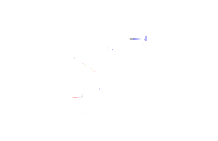 N=C(F)CNCCS(=O)(=O)CC(N)C(=O)O